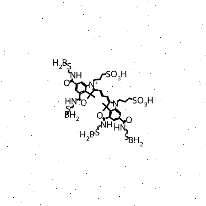 BSCNC(=O)c1cc(C(=O)NCSB)c2c(c1)N(CCCS(=O)(=O)O)/C(=C/C=C/C1=[N+](CCCS(=O)(=O)O)c3cc(C(=O)NCSB)cc(C(=O)NCSB)c3C1(C)C)C2(C)C